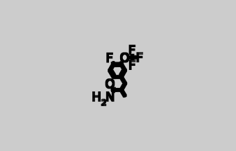 CC(Cc1ccc(F)c(OC(F)(F)F)c1)C(N)=O